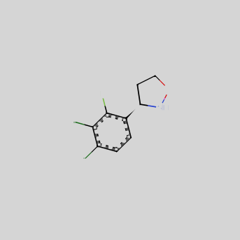 Fc1c([C@H]2CCON2)ccc(Cl)c1Cl